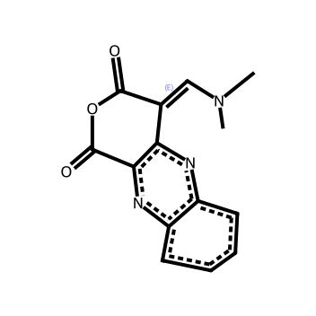 CN(C)/C=C1/C(=O)OC(=O)c2nc3ccccc3nc21